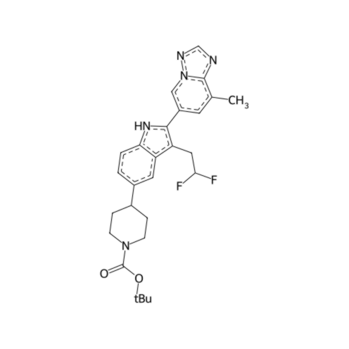 Cc1cc(-c2[nH]c3ccc(C4CCN(C(=O)OC(C)(C)C)CC4)cc3c2CC(F)F)cn2ncnc12